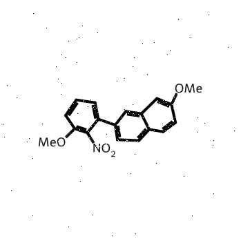 COc1ccc2ccc(-c3cccc(OC)c3[N+](=O)[O-])cc2c1